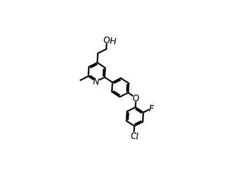 Cc1cc(CCO)cc(-c2ccc(Oc3ccc(Cl)cc3F)cc2)n1